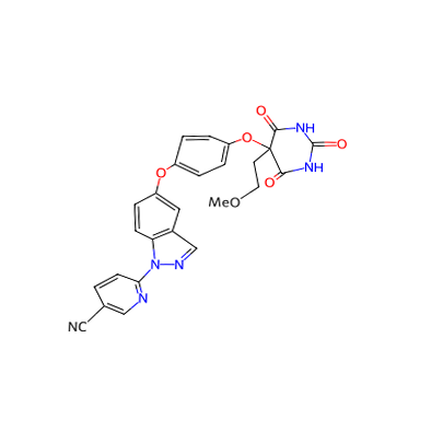 COCCC1(Oc2ccc(Oc3ccc4c(cnn4-c4ccc(C#N)cn4)c3)cc2)C(=O)NC(=O)NC1=O